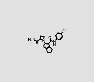 NC(=O)C1CCN1c1sc2c(c1C(=O)Nc1ccc(Cl)cc1)CCC2